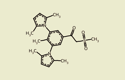 Cc1c(-n2c(C)ccc2C)cc(C(=O)CS(C)(=O)=O)cc1-n1c(C)ccc1C